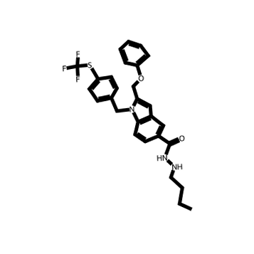 CCCCNNC(=O)c1ccc2c(c1)cc(COc1ccccc1)n2Cc1ccc(SC(F)(F)F)cc1